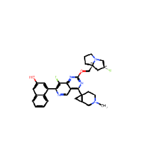 CN1CCC2(c3nc(OC[C@@]45CCCN4C[C@H](F)C5)nc4c(F)c(-c5cc(O)cc6ccccc56)ncc34)CC2C1